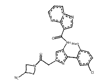 COc1ccc(Cl)cc1-c1nn(CC(=O)N2CC(C#N)C2)cc1NC(=O)c1cnn2cccnc12